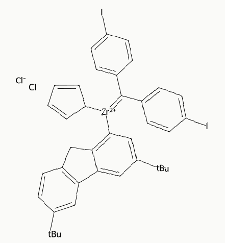 CC(C)(C)c1ccc2c(c1)-c1cc(C(C)(C)C)c[c]([Zr+2](=[C](c3ccc(I)cc3)c3ccc(I)cc3)[CH]3C=CC=C3)c1C2.[Cl-].[Cl-]